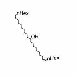 CCCCCC/C=C\CCCCCCCCC(O)CCCCCCCC/C=C\CCCCCC